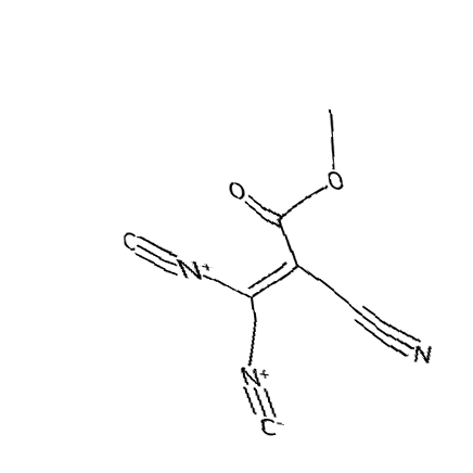 [C-]#[N+]C([N+]#[C-])=C(C#N)C(=O)OC